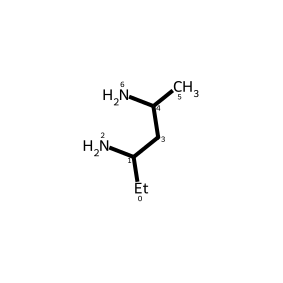 CCC(N)CC(C)N